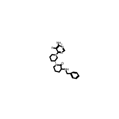 Nc1ncnc(N2CCC[C@@H](N3CCCC(NCc4ccccc4)C3=O)C2)c1F